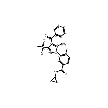 Cc1ccc(C(=O)NC2CC2)cc1-n1nc(S(C)(=O)=O)c(C(=O)c2ccccc2)c1N